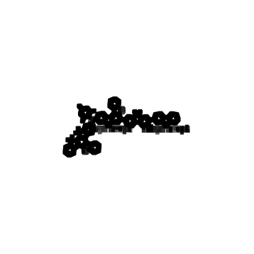 CCCCCCCC1(CCCCCCC)c2ccccc2-c2ccc(-c3ccc4c(c3)C(C)(C)c3cc(-c5cc6c(c7c5oc5ccccc57)-c5ccc(N(c7ccc8c(c7)C(C)(C)c7c9c(c%10oc%11ccccc%11c%10c7-8)-c7ccccc7C9(C)C)c7c(C)cc(C)cc7C)cc5C6(CCCCCCC)CCCCCCC)ccc3-4)cc21